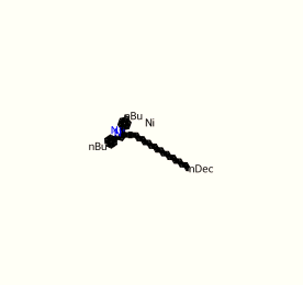 CCCCCCCCCCCCCCCCCCCCCCCCCCCCC#CC1=C(c2ccc(CCCC)cc2)[N+](=[N-])C(c2ccc(CCCC)cc2)=C1.[Ni]